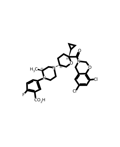 C[C@H]1CN([C@@H]2CC[C@@](C(=O)N3COc4c(Cl)cc(Cl)cc4C3)(C3CC3)OC2)CCN1c1ccc(F)c(C(=O)O)c1